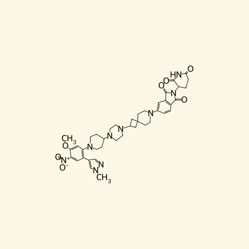 COc1cc(N2CCC(N3CCN(C4CC5(CCN(c6ccc7c(c6)C(=O)N(C6CCC(=O)NC6=O)C7=O)CC5)C4)CC3)CC2)c(-c2cnn(C)c2)cc1[N+](=O)[O-]